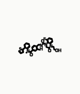 Cc1cc(C(=O)N(C)c2ccccc2-c2cccs2)ccc1CNC(=O)N1CC(=O)N(CCO)c2cccc(F)c21